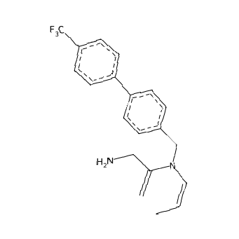 C=C(CN)N(/C=C\C)Cc1ccc(-c2ccc(C(F)(F)F)cc2)cc1